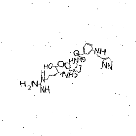 Cn1nccc1CNc1cccc(S(=O)(=O)Nc2ccsc2C(=O)N[C@@H](CCCNC(=N)N)C(=O)O)c1